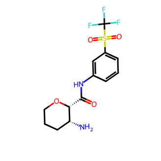 N[C@@H]1CCCO[C@@H]1C(=O)Nc1cccc(S(=O)(=O)C(F)(F)F)c1